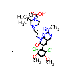 CNc1ncc2cc(-c3c(Cl)c(OC)cc(OC)c3Cl)c(=O)n(CCCN3CCN(C(=O)O)C(C(C)(C)C)C3)c2n1